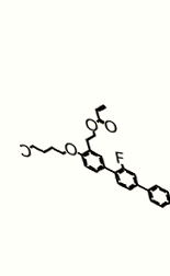 C=CC(=O)OCCc1cc(-c2ccc(-c3ccc(CCCCC)cc3)cc2F)ccc1OCCCCO